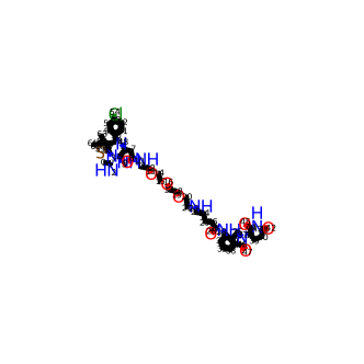 CC(=N)N1C(=N)C(CC(=O)NCCOCCOCCOCCNCCCCC(=O)Nc2cccc3c2CN(C2CCC(=O)NC2=O)C3=O)N=C(c2ccc(Cl)cc2)c2c1sc(C)c2C